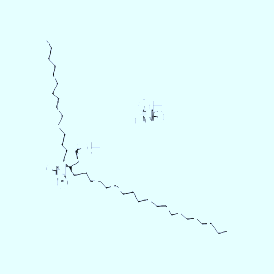 CCCCCCCCCCCCCCCCCCCCC(CCO)(CCCCCCCCCCCCCCC)[N+](=O)[O-].O=[N+]([O-])O